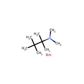 Br.CN(C)C(C)(C)C(C)(C)C